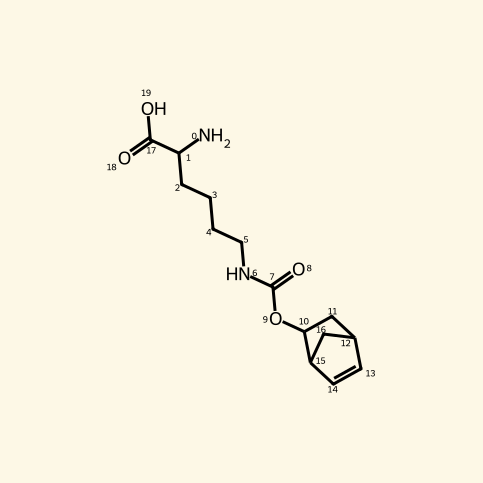 NC(CCCCNC(=O)OC1CC2C=CC1C2)C(=O)O